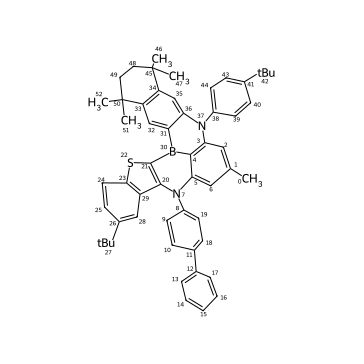 Cc1cc2c3c(c1)N(c1ccc(-c4ccccc4)cc1)c1c(sc4ccc(C(C)(C)C)cc14)B3c1cc3c(cc1N2c1ccc(C(C)(C)C)cc1)C(C)(C)CCC3(C)C